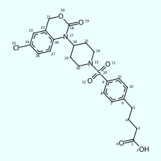 O=C(O)CCCc1ccc(S(=O)(=O)N2CCC(N3C(=O)OCc4cc(Cl)ccc43)CC2)cc1